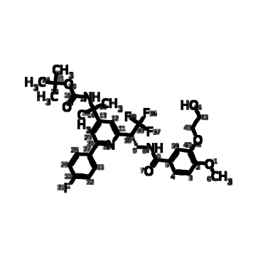 COc1ccc(C(=O)NC[C@H](c2cc(C(C)(C)NC(=O)OC(C)(C)C)cc(-c3ccc(F)cc3)n2)C(F)(F)F)cc1OCCO